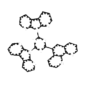 c1cnc2c(c1)cc(-c1nc(-n3c4ncccc4c4cccnc43)nc(-n3c4ncccc4c4cccnc43)n1)c1cccnc12